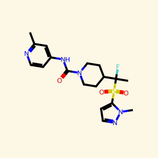 Cc1cc(NC(=O)N2CCC(C(C)(F)S(=O)(=O)c3ccnn3C)CC2)ccn1